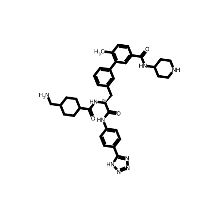 Cc1ccc(C(=O)NC2CCNCC2)cc1-c1cccc(C[C@H](NC(=O)C2CCC(CN)CC2)C(=O)Nc2ccc(-c3nnn[nH]3)cc2)c1